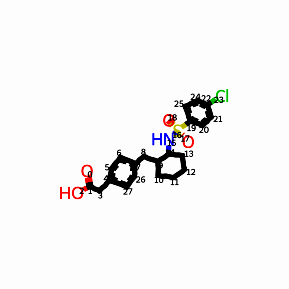 O=C(O)Cc1ccc(CC2CCCCC2NS(=O)(=O)c2ccc(Cl)cc2)cc1